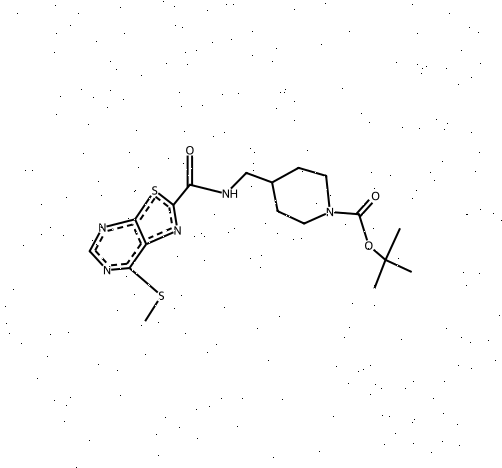 CSc1ncnc2sc(C(=O)NCC3CCN(C(=O)OC(C)(C)C)CC3)nc12